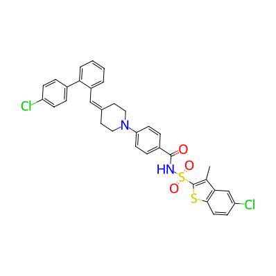 Cc1c(S(=O)(=O)NC(=O)c2ccc(N3CCC(=Cc4ccccc4-c4ccc(Cl)cc4)CC3)cc2)sc2ccc(Cl)cc12